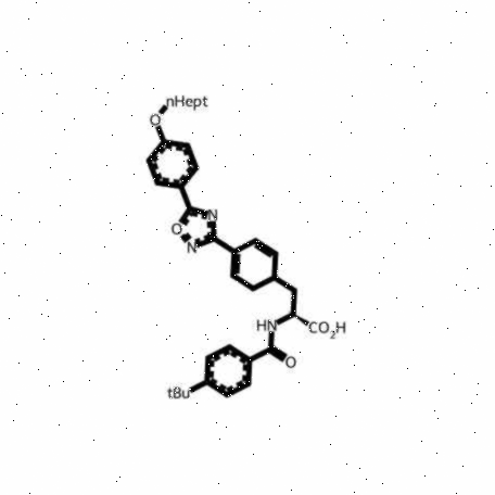 CCCCCCCOc1ccc(-c2nc(C3=CCC(C[C@H](NC(=O)c4ccc(C(C)(C)C)cc4)C(=O)O)C=C3)no2)cc1